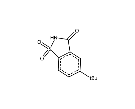 CC(C)(C)c1ccc2c(c1)C(=O)NS2(=O)=O